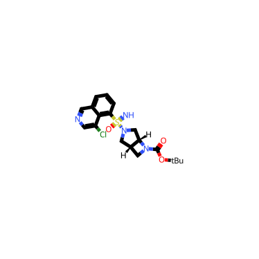 CC(C)(C)OC(=O)N1C[C@@H]2CN(S(=N)(=O)c3cccc4cncc(Cl)c34)C[C@@H]21